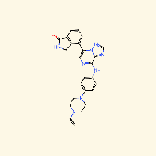 C=C(C)N1CCN(c2ccc(Nc3ncc(-c4cccc5c4CNC5=O)n4ncnc34)cc2)CC1